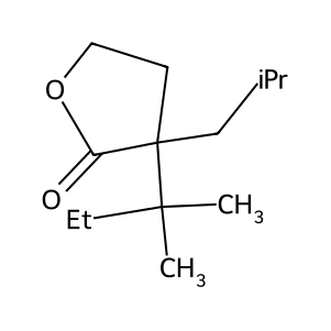 CCC(C)(C)C1(CC(C)C)CCOC1=O